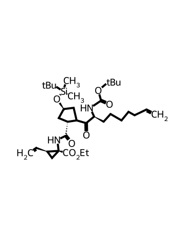 C=CCCCCC[C@H](NC(=O)OC(C)(C)C)C(=O)C1C[C@H](O[Si](C)(C)C(C)(C)C)C[C@H]1C(=O)N[C@]1(C(=O)OCC)C[C@H]1C=C